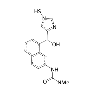 CNC(=O)Nc1ccc2cccc(C(O)c3cn(S)cn3)c2c1